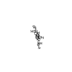 CN(C)CCONC[C@H]1CC[C@]2(O)[C@@H]3CC[C@@H]4C[C@](O)(OCCN5CCCC5)CC[C@]4(C)[C@H]3CC[C@]12C